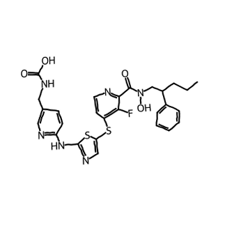 CCCC(CN(O)C(=O)c1nccc(Sc2cnc(Nc3ccc(CNC(=O)O)cn3)s2)c1F)c1ccccc1